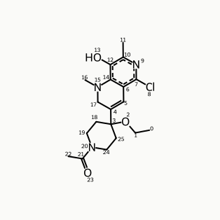 CCOC1(C2=Cc3c(Cl)nc(C)c(O)c3N(C)C2)CCN(C(C)=O)CC1